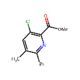 COC(=O)c1nc(C(C)C)c(C)cc1Cl